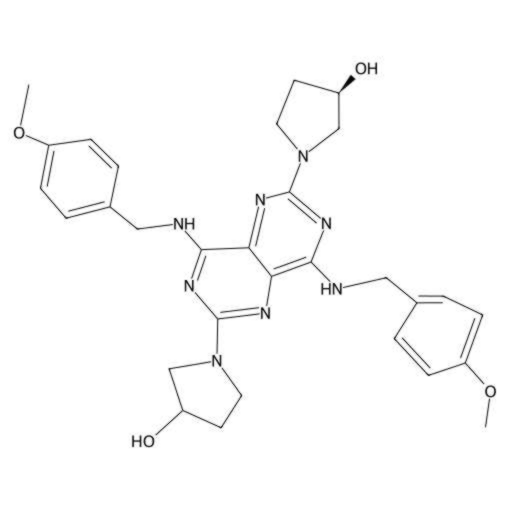 COc1ccc(CNc2nc(N3CC[C@@H](O)C3)nc3c(NCc4ccc(OC)cc4)nc(N4CCC(O)C4)nc23)cc1